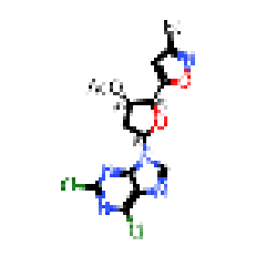 CCc1cc([C@H]2O[C@@H](n3cnc4c(Cl)nc(Cl)nc43)[CH][C@H]2OC(C)=O)on1